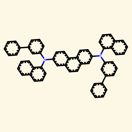 c1ccc(-c2cccc(N(c3ccc4c(ccc5cc(N(c6cccc(-c7ccccc7)c6)c6cccc7ccccc67)ccc54)c3)c3cccc4ccccc34)c2)cc1